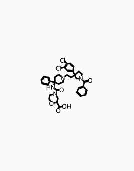 O=C(O)C1CN(C(=O)NC2(c3ccccc3)CCN(CCC3(c4ccc(Cl)c(Cl)c4)CCN(C(=O)c4ccccc4)C3)CC2)CCO1